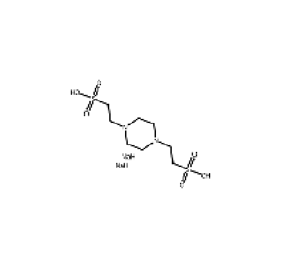 O=S(=O)(O)CCN1CCN(CCS(=O)(=O)O)CC1.[NaH].[NaH]